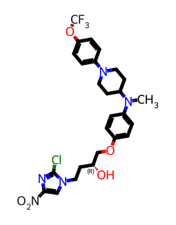 CN(c1ccc(OC[C@H](O)CCn2cc([N+](=O)[O-])nc2Cl)cc1)C1CCN(c2ccc(OC(F)(F)F)cc2)CC1